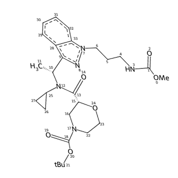 COC(=O)NCCCn1nc([C@@H](C)N(C(=O)[C@H]2CN(C(=O)OC(C)(C)C)CCO2)C2CC2)c2ccccc21